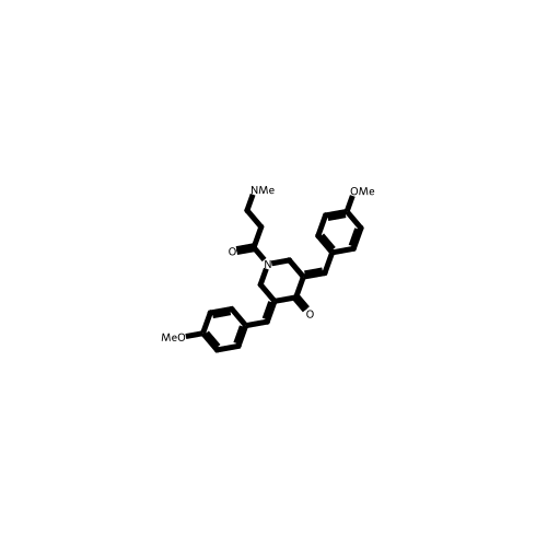 CNCCC(=O)N1C/C(=C\c2ccc(OC)cc2)C(=O)/C(=C/c2ccc(OC)cc2)C1